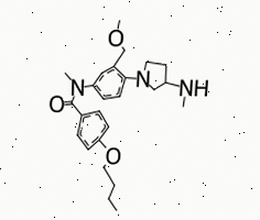 CCCCOc1ccc(C(=O)N(C)c2ccc(N3CCC(NC)C3)c(COC)c2)cc1